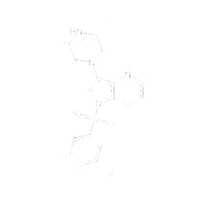 C[C@@H]1CN(c2cn(S(=O)(=O)c3cccc(Cl)c3)c3cccnc23)CCN1